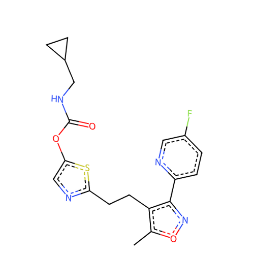 Cc1onc(-c2ccc(F)cn2)c1CCc1ncc(OC(=O)NCC2CC2)s1